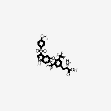 Cc1ccc(S(=O)(=O)c2c[nH]c3ccc(Oc4c(C(F)(F)F)cc(C[C@H](N)C(=O)O)cc4C(F)(F)F)cc23)cc1